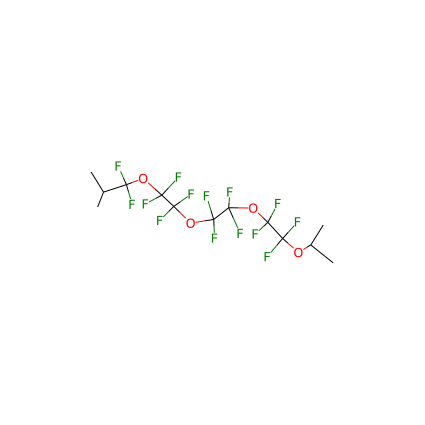 CC(C)OC(F)(F)C(F)(F)OC(F)(F)C(F)(F)OC(F)(F)C(F)(F)OC(F)(F)C(C)C